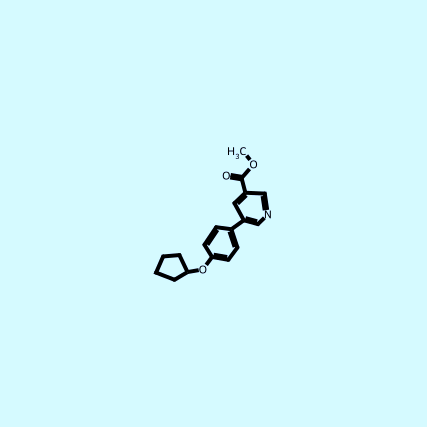 COC(=O)c1cncc(-c2ccc(OC3CCCC3)cc2)c1